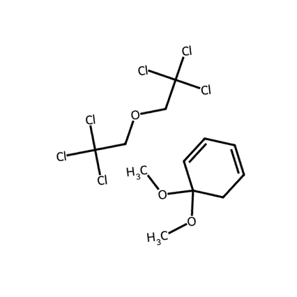 COC1(OC)C=CC=CC1.ClC(Cl)(Cl)COCC(Cl)(Cl)Cl